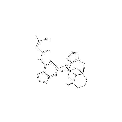 C/C(N)=C/C(=N)Nc1nc(N[C@@H]2C[C@H]3CCC[C@@H](C2)N3C(=O)c2nccn2C)nc2sccc12